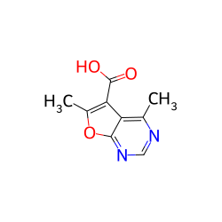 Cc1oc2ncnc(C)c2c1C(=O)O